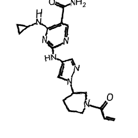 C=CC(=O)N1CCCC(n2cc(Nc3ncc(C(N)=O)c(NC4CC4)n3)cn2)C1